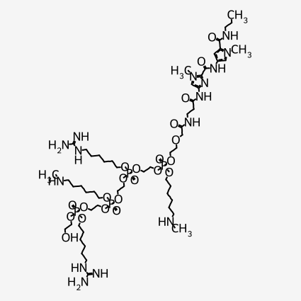 CCCNC(=O)c1cc(NC(=O)c2nc(NC(=O)CCNC(=O)COCCOP(=O)(OCCCCCCNC)OCCOP(=O)(OCCCCCCNC(=N)N)OCCOP(=O)(OCCCCCCNC)OCCOP(=O)(OCCO)OCCCCCCNC(=N)N)cn2C)cn1C